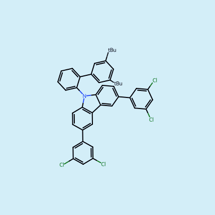 CC(C)(C)c1cc(-c2ccccc2-n2c3ccc(-c4cc(Cl)cc(Cl)c4)cc3c3cc(-c4cc(Cl)cc(Cl)c4)ccc32)cc(C(C)(C)C)c1